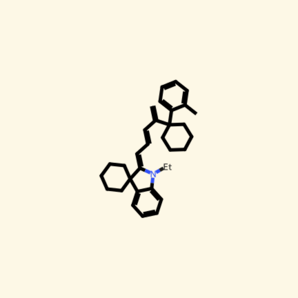 C=C(/C=C/C=C1\N(CC)c2ccccc2C12CCCCC2)C1(c2ccccc2C)CCCCC1